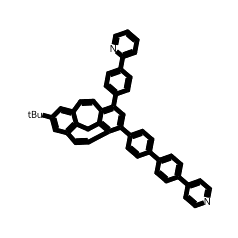 CC(C)(C)c1cc2c3c(c1)C=Cc1c(-c4ccc(-c5ccccn5)cc4)cc(-c4ccc(-c5ccc(-c6ccncc6)cc5)cc4)c(c1C3)C=C2